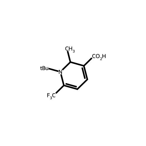 CC1C(C(=O)O)=CC=C(C(F)(F)F)N1C(C)(C)C